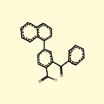 O=C(Cl)c1ccc(-c2cccc3ccccc23)cc1C(=O)c1ccccc1